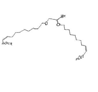 CCCCCCCC/C=C\CCCCCCCCOCC(OCCCCCCCC/C=C\CCCCCCCC)C(C)C